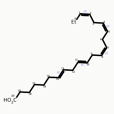 CC/C=C\C/C=C\C/C=C\C/C=C/C/C=C/CCCCCC(=O)O